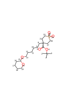 CC(C)(C)OC(=O)C1(CCCCCCOC2CCCCO2)CCS(=O)(=O)CC1